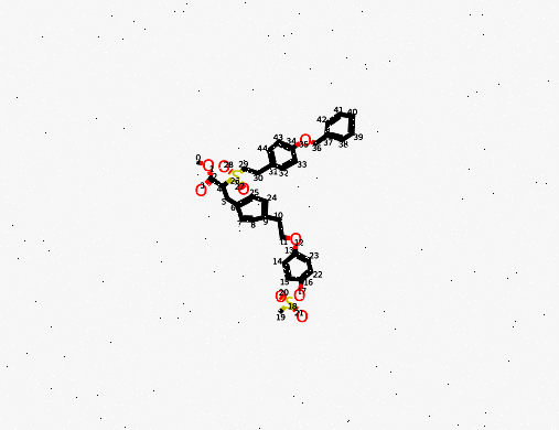 COC(=O)C(Cc1ccc(CCOc2ccc(OS(C)(=O)=O)cc2)cc1)S(=O)(=O)CCc1ccc(OCc2ccccc2)cc1